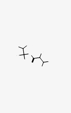 CCCCC(CC)C(O)(O)OC(=O)C(O)C(O)C(=O)O